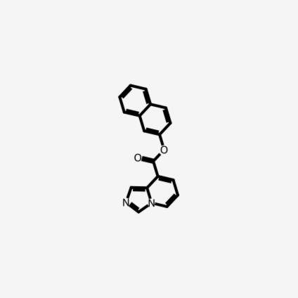 O=C(Oc1ccc2ccccc2c1)c1cccn2cncc12